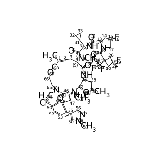 CC1=CC[C@H](N(C)C(=O)[C@@H](NC(=O)[C@@H]2C[C@@H](F)CN2C(=O)C2(C(F)(F)F)CC(F)(F)C2)C2CC2)C(=O)N[C@@H](CC(C)C)C(=O)N(C)[C@@H](Cc2cc(Cl)ccc2-c2cnn(C)c2)C(=O)N(C)CCOC1